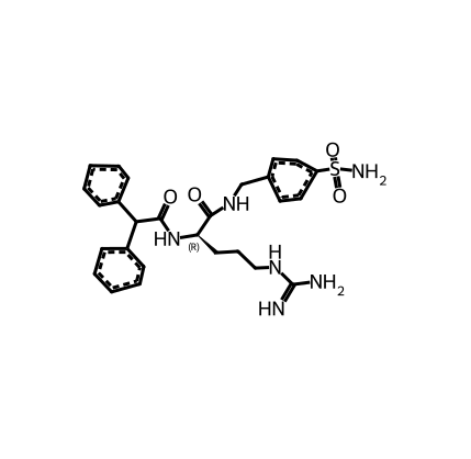 N=C(N)NCCC[C@@H](NC(=O)C(c1ccccc1)c1ccccc1)C(=O)NCc1ccc(S(N)(=O)=O)cc1